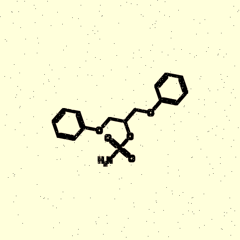 NS(=O)(=O)OC(COc1ccccc1)COc1ccccc1